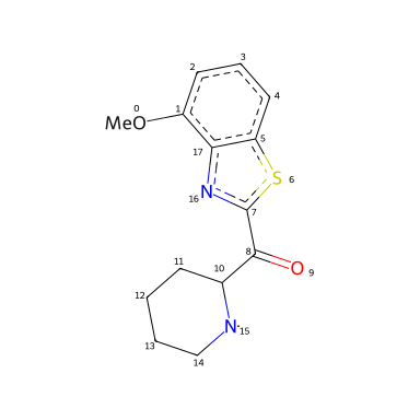 COc1cccc2sc(C(=O)C3CCCC[N]3)nc12